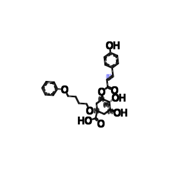 O=C(/C=C/c1ccc(O)cc1)O[C@@H]1C[C@](OCCCCOc2ccccc2)(C(=O)O)C[C@H](O)[C@H]1O